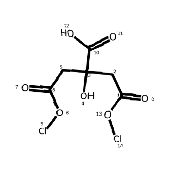 O=C(CC(O)(CC(=O)OCl)C(=O)O)OCl